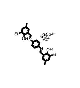 CC(=O)[O-].CC(=O)[O-].CCc1cc(C)cc(C=Nc2ccc(N=Cc3cc(C)cc(CC)c3O)cc2)c1O.[Co+2]